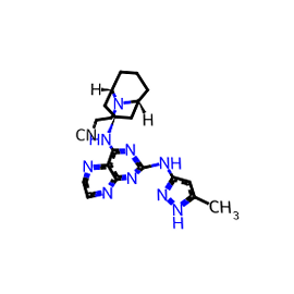 Cc1cc(Nc2nc(N[C@@H]3C[C@H]4CCC[C@@H](C3)N4CCC#N)c3nccnc3n2)n[nH]1